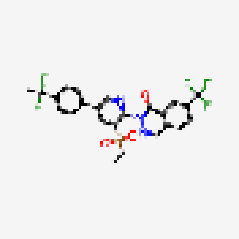 CCS(=O)(=O)c1cc(-c2ccc(C(C)(F)F)cc2)cnc1-n1ncc2ccc(C(F)(F)F)cc2c1=O